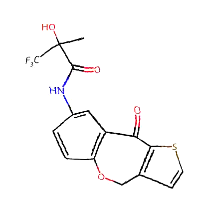 CC(O)(C(=O)Nc1ccc2c(c1)C(=O)c1sccc1CO2)C(F)(F)F